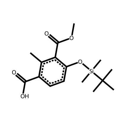 COC(=O)c1c(O[Si](C)(C)C(C)(C)C)ccc(C(=O)O)c1C